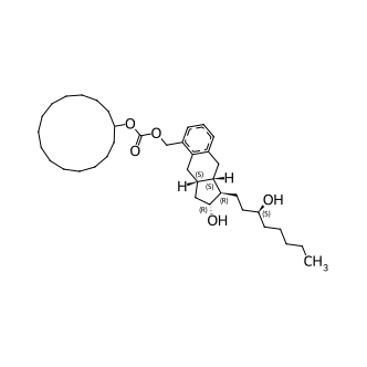 CCCCC[C@H](O)CC[C@@H]1[C@H]2Cc3cccc(COC(=O)OC4CCCCCCCCCCCCCC4)c3C[C@H]2C[C@H]1O